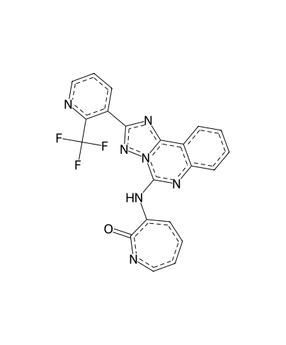 O=c1nccccc1Nc1nc2ccccc2c2nc(-c3cccnc3C(F)(F)F)nn12